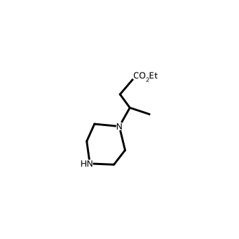 CCOC(=O)CC(C)N1CCNCC1